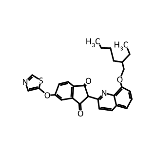 CCCCC(CC)COc1cccc2ccc(C3C(=O)c4ccc(Oc5cncs5)cc4C3=O)nc12